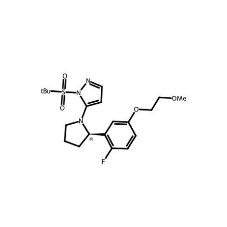 COCCOc1ccc(F)c([C@H]2CCCN2c2ccnn2S(=O)(=O)C(C)(C)C)c1